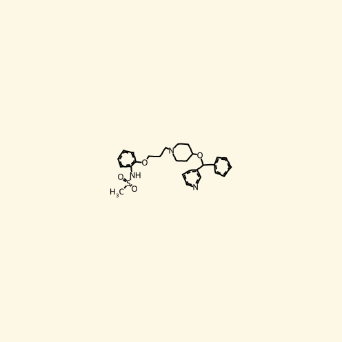 CS(=O)(=O)Nc1ccccc1OCCCN1CCC(OC(c2ccccc2)c2cccnc2)CC1